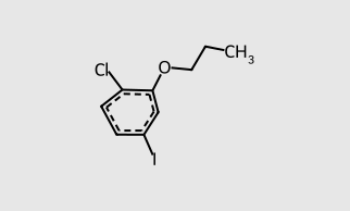 CCCOc1cc(I)ccc1Cl